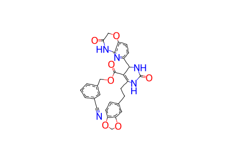 N#Cc1cccc(COC(=O)C2=C(CCc3ccc4c(c3)OCO4)NC(=O)NC2c2ccc3c(n2)NC(=O)CO3)c1